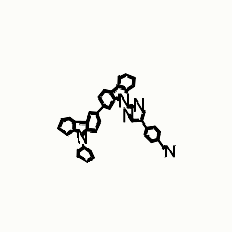 N#Cc1ccc(-c2cnc(-n3c4ccccc4c4ccc(-c5ccc6c(c5)c5ccccc5n6-c5ccccc5)cc43)nc2)cc1